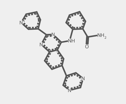 NC(=O)c1ccccc1Nc1nc(-c2cccnc2)nc2ccc(-c3cncnc3)cc12